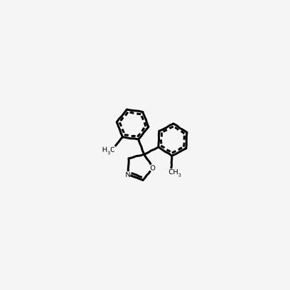 Cc1ccccc1C1(c2ccccc2C)CN=CO1